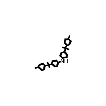 Cc1ccc(C(C)(C)c2ccc(Nc3ccc(C(C)(C)c4ccc(C)cc4)cc3)cc2)cc1